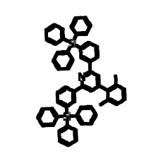 Cc1cccc(C)c1-c1cc(-c2cccc([Si](c3ccccc3)(c3ccccc3)c3ccccc3)c2)nc(-c2cccc([Si](c3ccccc3)(c3ccccc3)c3ccccc3)c2)c1